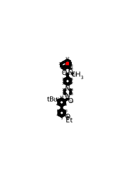 CCOc1cccc(-c2cc(C(=O)N3CCN(c4ccc(C(=O)N(C)CC56CC7CC(CC(C7)C5)C6)cc4)CC3)cc(C(C)(C)C)c2)c1